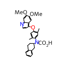 COc1cc2nccc(Oc3cc(C)c(N(C(=O)O)C4CCc5ccccc5C4)cc3C)c2cc1OC